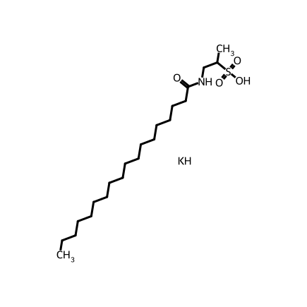 CCCCCCCCCCCCCCCCCC(=O)NCC(C)S(=O)(=O)O.[KH]